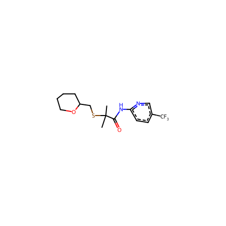 CC(C)(SCC1CCCCO1)C(=O)Nc1ccc(C(F)(F)F)cn1